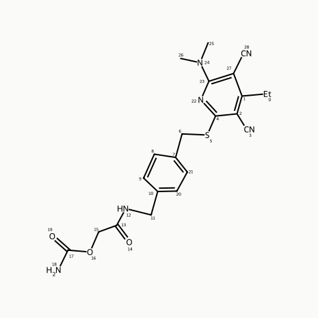 CCc1c(C#N)c(SCc2ccc(CNC(=O)COC(N)=O)cc2)nc(N(C)C)c1C#N